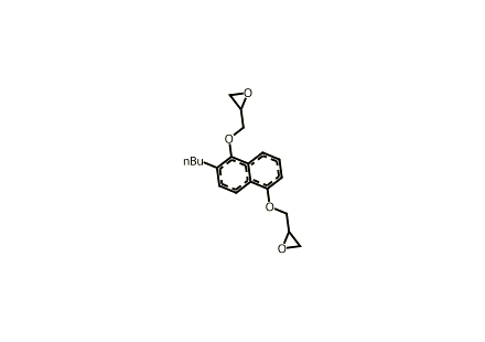 CCCCc1ccc2c(OCC3CO3)cccc2c1OCC1CO1